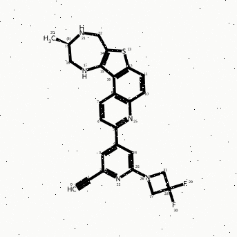 C#Cc1cc(-c2ccc3c(ccc4sc5c(c43)NC[C@@H](C)NC5)n2)cc(N2CC(F)(F)C2)n1